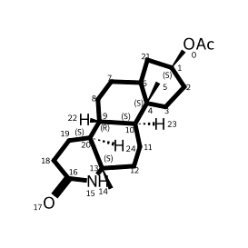 CC(=O)O[C@H]1CC[C@@]2(C)C(CC[C@@H]3[C@@H]2CC[C@]2(C)NC(=O)CC[C@@H]32)C1